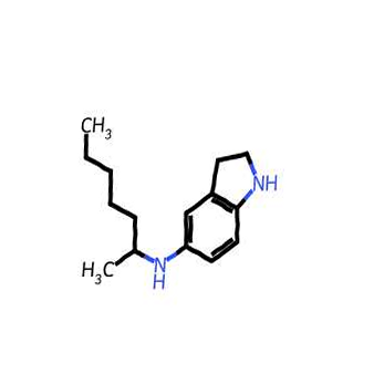 CCCCCC(C)Nc1ccc2c(c1)CCN2